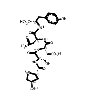 NC(=O)C[C@H](NC(=O)[C@H](CC(=O)O)NC(=O)[C@H](CO)NC(=O)[C@@H]1C[C@@H](O)CN1)C(=O)N[C@@H](Cc1ccc(O)cc1)C(=O)O